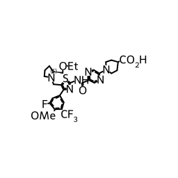 CCOC[C@@H]1CCCN1Cc1sc(NC(=O)c2cnc(N3CCC(C(=O)O)CC3)cn2)nc1-c1cc(F)c(OC)c(C(F)(F)F)c1